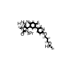 CC(C)n1c(-c2cc(-c3ccc(OCCCOPI)nc3)c(F)cc2N)c(N)n(C)c1=O